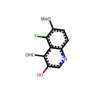 COc1ccc2ncc(O)c(C=O)c2c1F